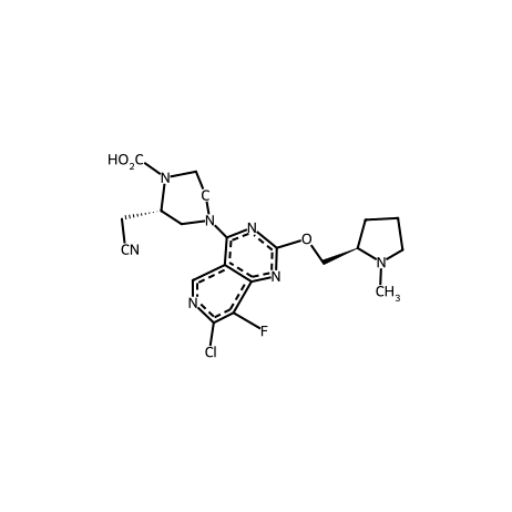 CN1CCC[C@@H]1COc1nc(N2CCN(C(=O)O)[C@@H](CC#N)C2)c2cnc(Cl)c(F)c2n1